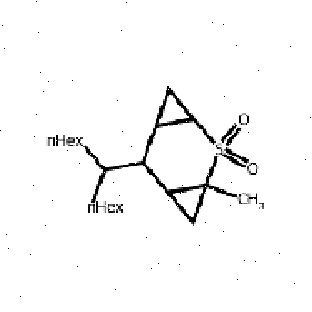 CCCCCCC(CCCCCC)C1C2CC2S(=O)(=O)C2(C)CC12